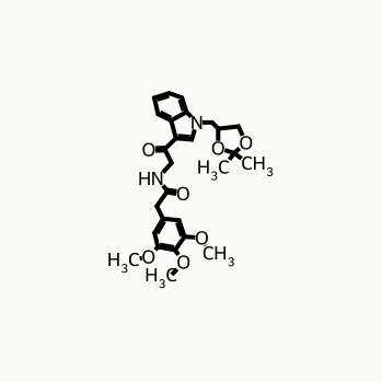 COc1cc(CC(=O)NCC(=O)c2cn(CC3COC(C)(C)O3)c3ccccc23)cc(OC)c1OC